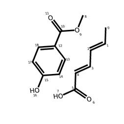 CC=CC=CC(=O)O.COC(=O)c1ccc(O)cc1